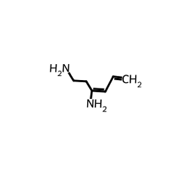 C=C/C=C(/N)CCN